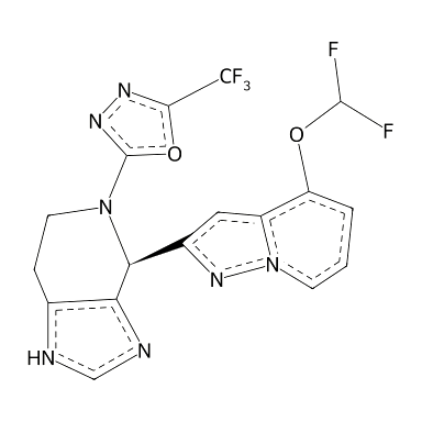 FC(F)Oc1cccn2nc([C@H]3c4nc[nH]c4CCN3c3nnc(C(F)(F)F)o3)cc12